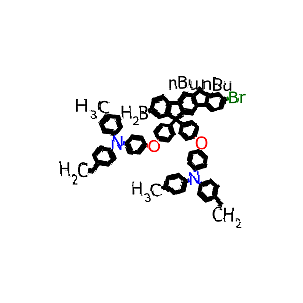 Bc1ccc2c(c1)C(c1ccc(Oc3ccc(N(c4ccc(C)cc4)c4ccc(C=C)cc4)cc3)cc1)(c1ccc(Oc3ccc(N(c4ccc(C)cc4)c4ccc(C=C)cc4)cc3)cc1)c1cc3c(cc1-2)C(CCCC)(CCCC)c1cc(Br)ccc1-3